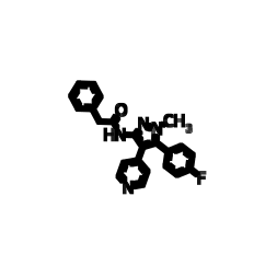 Cn1nc(NC(=O)Cc2ccccc2)c(-c2ccncc2)c1-c1ccc(F)cc1